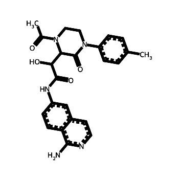 CC(=O)N1CCN(c2ccc(C)cc2)C(=O)C1C(O)C(=O)Nc1ccc2c(N)nccc2c1